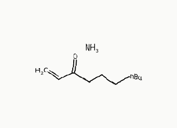 C=CC(=O)CCCCCCC.N